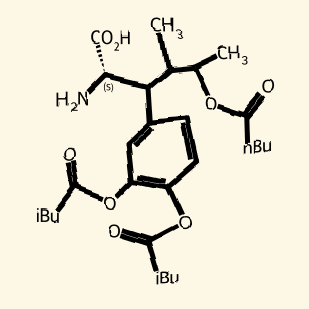 CCCCC(=O)OC(C)C(C)C(c1ccc(OC(=O)C(C)CC)c(OC(=O)C(C)CC)c1)[C@H](N)C(=O)O